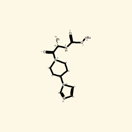 CCCCOC(=O)N[C@H](C(=O)N1CCC(n2ccnc2)CC1)C(C)C